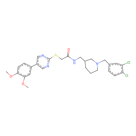 COc1ccc(-c2cnc(SCC(=O)NCC3CCCN(Cc4ccc(Cl)c(Cl)c4)C3)nc2)cc1OC